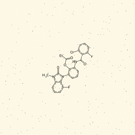 CCC(=O)Oc1c(NC(=O)c2c(F)cccc2Cl)cccc1-n1c(=O)n(C)c2cccc(F)c21